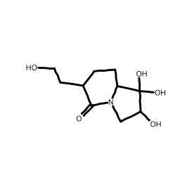 O=C1C(CCO)CCC2N1CC(O)C2(O)O